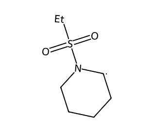 CCS(=O)(=O)N1[CH]CCCC1